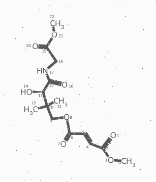 COC(=O)/C=C/C(=O)OCC(C)(C)[C@@H](O)C(=O)NCC(=O)OC